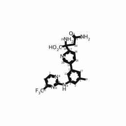 Cc1cc(Nc2nccc(C(F)(F)F)n2)cc(-c2ccc(C(N)(CC(N)=O)C(=O)O)nc2)c1